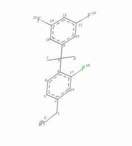 CC(C)Cc1ccc(C(C)(C)c2cc(F)cc(F)c2)c(F)c1